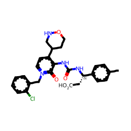 Cc1ccc([C@H](CC(=O)O)NC(=O)Nc2c(C3CCONC3)ccn(Cc3ccccc3Cl)c2=O)cc1